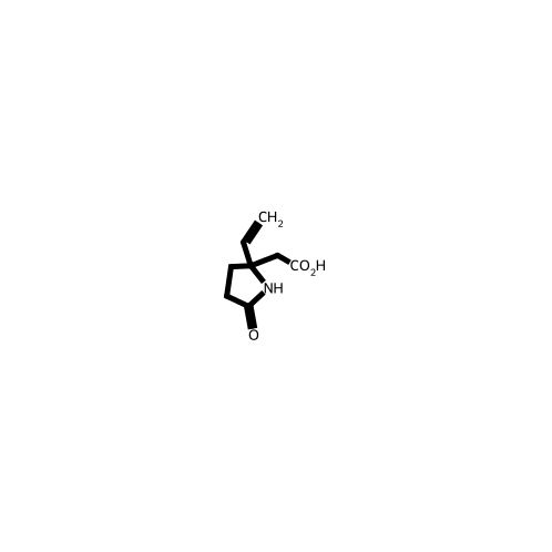 C=CC1(CC(=O)O)CCC(=O)N1